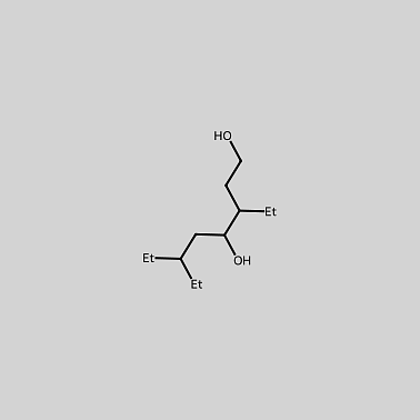 CCC(CC)CC(O)C(CC)CCO